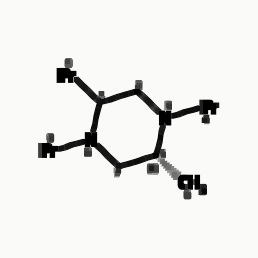 CC(C)C1CN(C(C)C)[C@H](C)CN1C(C)C